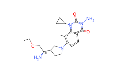 CCOC[C@H](N)C1CCN(c2ccc3c(=O)n(N)c(=O)n(C4CC4)c3c2C)C1